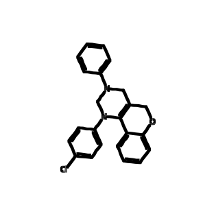 Clc1ccc(N2CN(c3ccccc3)CC3=C2c2ccccc2OC3)cc1